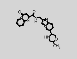 CC1CNC(c2ccc3nc(CNC(=O)c4cc(=O)n5ccccc5n4)cn3c2)CO1